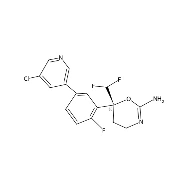 NC1=NCC[C@@](c2cc(-c3cncc(Cl)c3)ccc2F)(C(F)F)O1